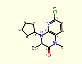 CC[C@@H]1C(=O)N(C)c2ccc(Cl)nc2N1C1CCCC1